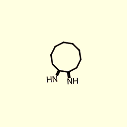 N=C1CCCCCCCCC1=N